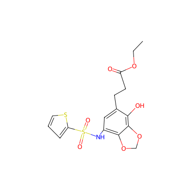 CCOC(=O)CCc1cc(NS(=O)(=O)c2cccs2)c2c(c1O)OCO2